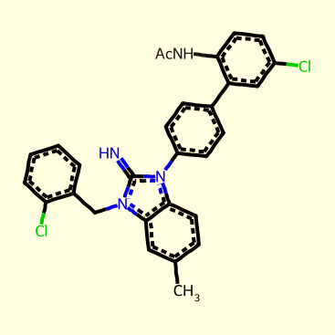 CC(=O)Nc1ccc(Cl)cc1-c1ccc(-n2c(=N)n(Cc3ccccc3Cl)c3cc(C)ccc32)cc1